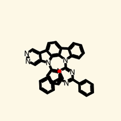 c1ccc(-c2nc(-c3ccccc3)nc(-n3c4ccccc4c4ccc5c6cnncc6n(-c6ccccc6)c5c43)n2)cc1